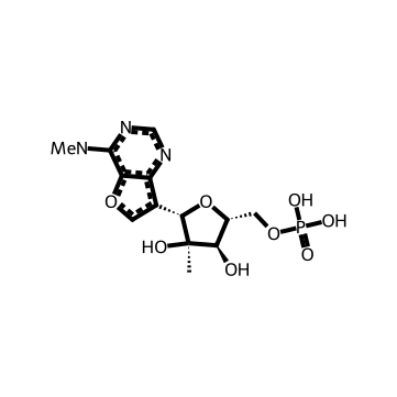 CNc1ncnc2c([C@@H]3O[C@H](COP(=O)(O)O)[C@@H](O)[C@@]3(C)O)coc12